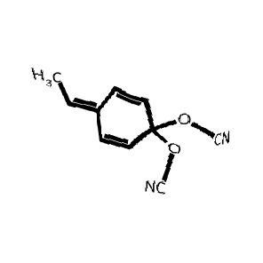 CC=C1C=CC(OC#N)(OC#N)C=C1